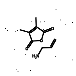 C=CCN.CC1=C(C)C(=O)OC1=O